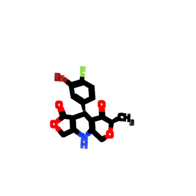 C[C@H]1OCC2=C(C1=O)[C@@H](c1ccc(F)c(Br)c1)C1=C(COC1=O)N2